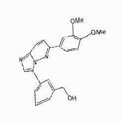 COc1ccc(-c2ccc3ncc(-c4cccc(CO)c4)n3n2)cc1OC